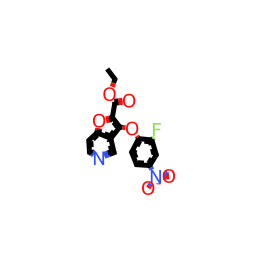 CCOC(=O)c1oc2ccncc2c1Oc1ccc([N+](=O)[O-])cc1F